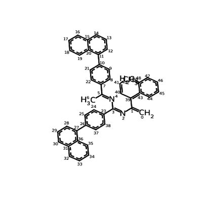 C=C(/N=C(\N=C(/C)c1ccc(-c2cccc3ccccc23)cc1)c1ccc(-c2cccc3ccccc23)cc1)C(/C=C\C)=c1\ccccc1=C